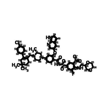 C[C@@H]1CN(c2ccc(C(=O)NS(=O)(=O)c3cc(F)c(NCC4COCCO4)c([N+](=O)[O-])c3)c(Oc3cnc4[nH]ccc4c3)c2)CCN1CC1=C(c2ccc(Cl)cc2)CC(C)(C)CC1